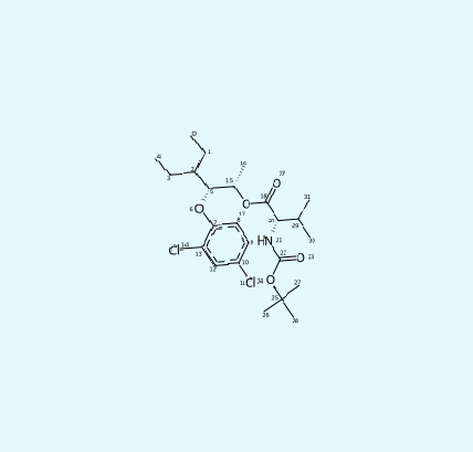 CCC(CC)[C@@H](Oc1ccc(Cl)cc1Cl)[C@H](C)OC(=O)[C@@H](NC(=O)OC(C)(C)C)C(C)C